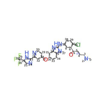 CN(C)C/C=C/C(=O)c1cc(Nc2nc3cc(Oc4ccnc(-c5ncc(C(F)(F)F)[nH]5)c4)ccc3n2C)ccc1Cl